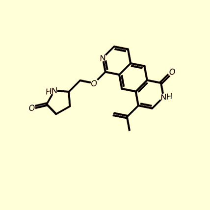 C=C(C)c1c[nH]c(=O)c2cc3ccnc(OCC4CCC(=O)N4)c3cc12